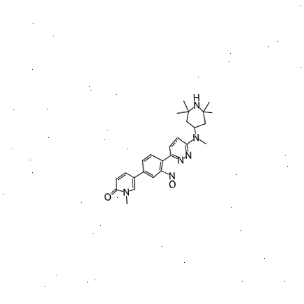 CN(c1ccc(-c2ccc(-c3ccc(=O)n(C)c3)cc2N=O)nn1)C1CC(C)(C)NC(C)(C)C1